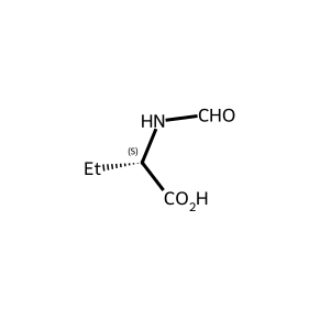 CC[C@H](NC=O)C(=O)O